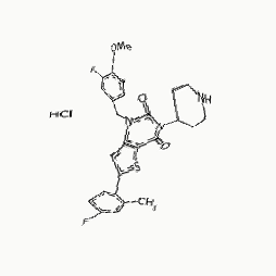 COc1ccc(Cn2c(=O)n(C3CCNCC3)c(=O)c3sc(-c4ccc(F)cc4C)cc32)cc1F.Cl